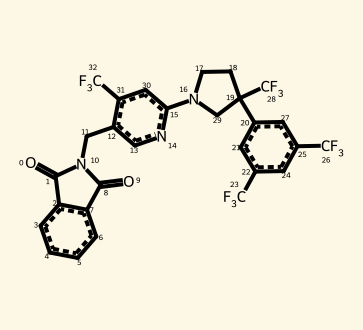 O=C1c2ccccc2C(=O)N1Cc1cnc(N2CCC(c3cc(C(F)(F)F)cc(C(F)(F)F)c3)(C(F)(F)F)C2)cc1C(F)(F)F